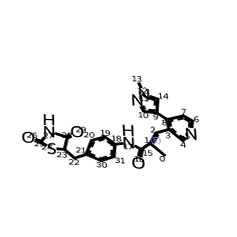 C/C(=C\c1cnccc1-c1cnn(C)c1)C(=O)Nc1ccc(CC2SC(=O)NC2=O)cc1